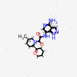 C[C@H]1CC[C@H](C2CCCCO2)N(C(=O)C(=O)Nc2cnc(N)c3cn[nH]c23)C1